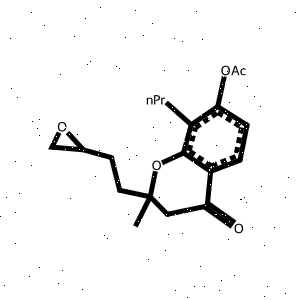 CCCc1c(OC(C)=O)ccc2c1OC(C)(CCC1CO1)CC2=O